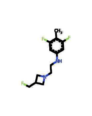 Cc1c(F)cc(NCCN2CC(CF)C2)cc1F